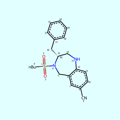 CCCCS(=O)(=O)N1Cc2cc(C#N)ccc2NC[C@H]1Cc1ccccc1